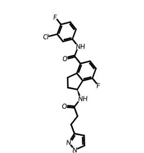 Cn1ccc(CCC(=O)N[C@H]2CCc3c(C(=O)Nc4ccc(F)c(Cl)c4)ccc(F)c32)n1